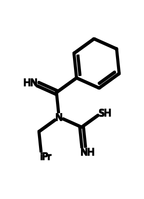 CC(C)CN(C(=N)S)C(=N)C1=CCCC=C1